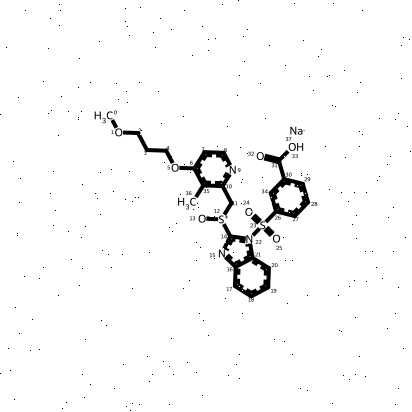 COCCCOc1ccnc(C[S+]([O-])c2nc3ccccc3n2S(=O)(=O)c2cccc(C(=O)O)c2)c1C.[Na]